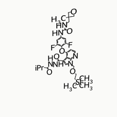 CC(C)C(=O)NNC(=O)c1cn(COCC[Si](C)(C)C)c2nccc(Oc3c(F)cc(NC(=O)NCC4(C)COC4)cc3F)c12